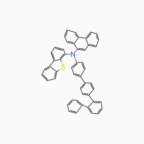 c1ccc(-c2ccccc2-c2ccc(-c3ccc(N(c4cc5ccccc5c5ccccc45)c4cccc5c4sc4ccccc45)cc3)cc2)cc1